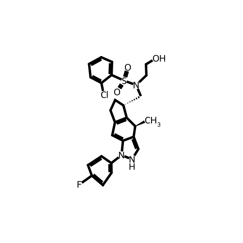 C[C@H]1C2=CNN(c3ccc(F)cc3)C2=CC2=C1[C@@H](CN(CCO)S(=O)(=O)c1ccccc1Cl)CC2